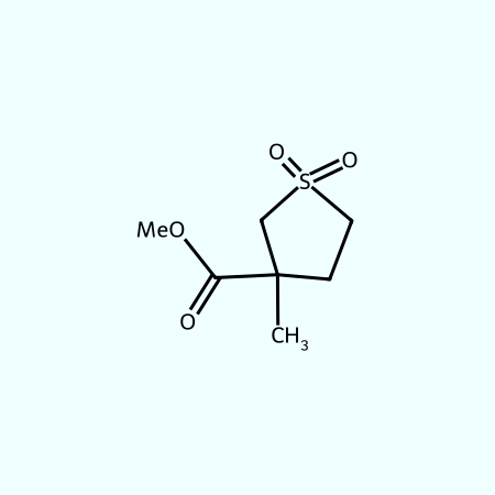 COC(=O)C1(C)CCS(=O)(=O)C1